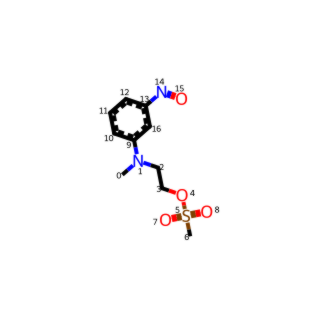 CN(CCOS(C)(=O)=O)c1cccc(N=O)c1